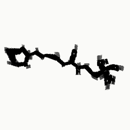 O=C(CCCC[C@@H]1CCSS1)NCCP(=O)(O)O